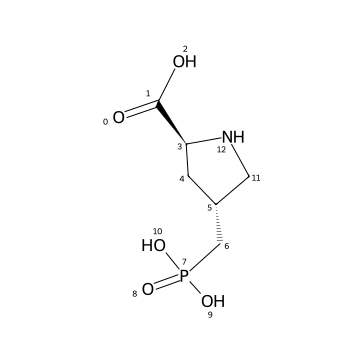 O=C(O)[C@@H]1C[C@@H](CP(=O)(O)O)CN1